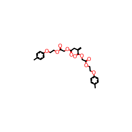 C=C(CC(=O)OCC(=O)OCCOc1ccc(C)cc1)C(=O)OCC(=O)OCCOc1ccc(C)cc1